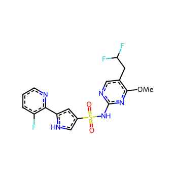 COc1nc(NS(=O)(=O)c2c[nH]c(-c3ncccc3F)c2)ncc1CC(F)F